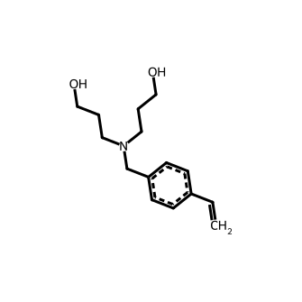 C=Cc1ccc(CN(CCCO)CCCO)cc1